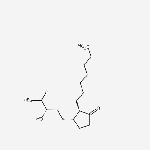 CCCCC(F)[C@@H](O)CC[C@H]1CCC(=O)[C@@H]1CCCCCCC(=O)O